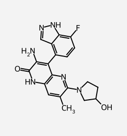 Cc1cc2[nH]c(=O)c(N)c(-c3ccc(F)c4[nH]ncc34)c2nc1N1CCC(O)C1